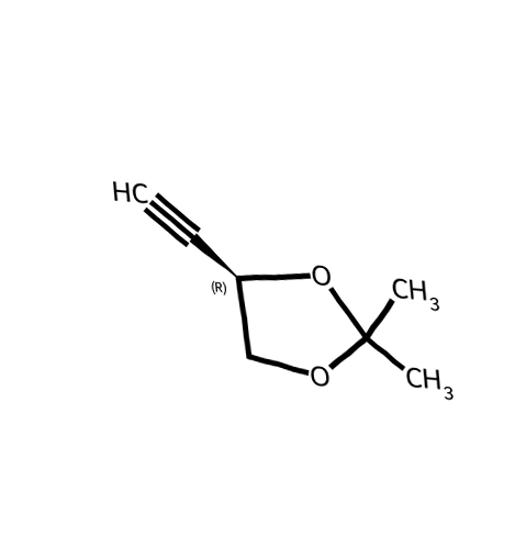 C#C[C@@H]1COC(C)(C)O1